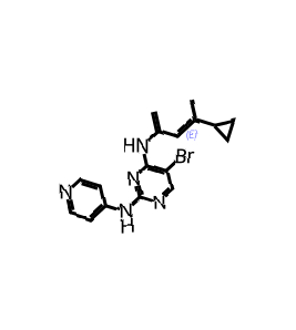 C=C(/C=C(\C)C1CC1)Nc1nc(Nc2ccncc2)ncc1Br